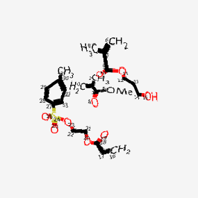 C=C(C)C(=O)OC.C=C(C)C(=O)OCCCO.C=CC(=O)OCCOS(=O)(=O)c1ccc(C)cc1